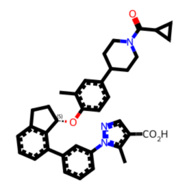 Cc1cc(C2CCN(C(=O)C3CC3)CC2)ccc1O[C@H]1CCc2cccc(-c3cccc(-n4ncc(C(=O)O)c4C)c3)c21